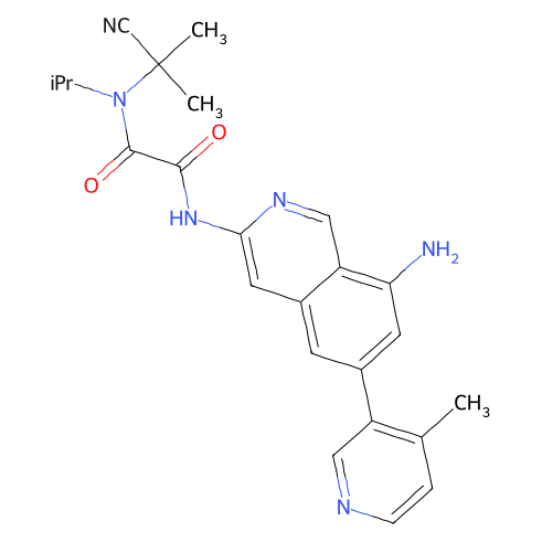 Cc1ccncc1-c1cc(N)c2cnc(NC(=O)C(=O)N(C(C)C)C(C)(C)C#N)cc2c1